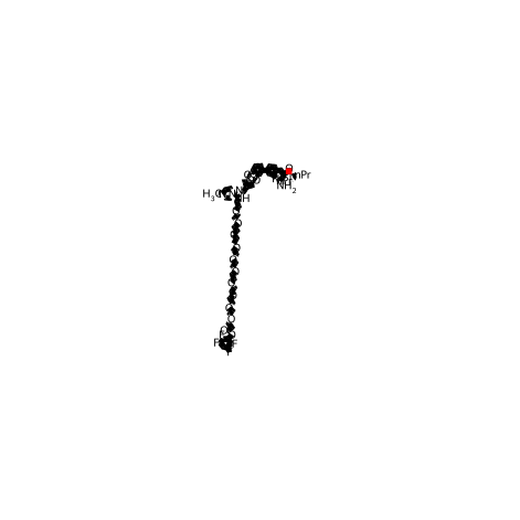 CCCN(CCC)C(=O)C1=Cc2ccc(-c3cccc(S(=O)(=O)N4CC(C/N=C(\NCCOCCOCCOCCOCCOCCOCCOCCOCCOCCOCCC(=O)Oc5c(F)c(F)cc(F)c5F)N5CCN(C)CC5)C4)c3)cc2N=C(N)C1